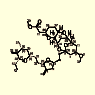 C=C1C[C@H](CC[C@]23C[C@H](OC)C[C@H](O2)[C@H]2C[C@@H](O3)[C@H]3O[C@@H](CC(=O)OC)CC[C@@H]3O2)O[C@H]1CC[C@H]1C[C@@H](C)C(=C)[C@@H](CC)O1